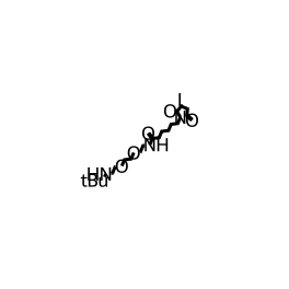 CC(C)(C)NCCOCCOCCNC(=O)CCCCCN1C(=O)CC(I)C1=O